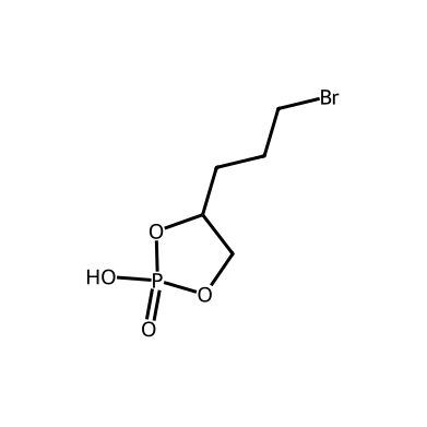 O=P1(O)OCC(CCCBr)O1